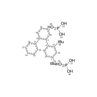 CC(C)(C)c1ccc(-c2ccccc2-c2ccccc2)c(C(C)(C)C)c1.OP(O)O.OP(O)O